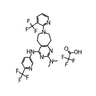 CN(C)c1nc2c(c(Nc3ccc(C(F)(F)F)nc3)n1)CCN(c1ncccc1C(F)(F)F)CC2.O=C(O)C(F)(F)F